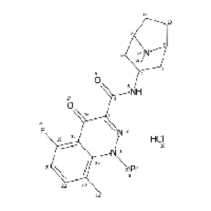 CCCn1nc(C(=O)NC2CC3CCC(C2)N3C)c(=O)c2c(F)ccc(C)c21.Cl